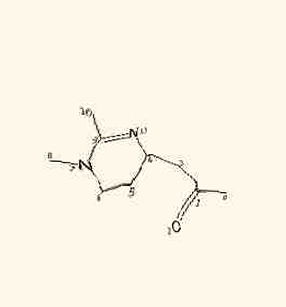 CC(=O)CC1CCN(C)C(C)=N1